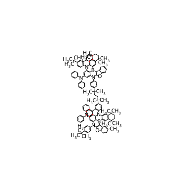 Cc1ccc2oc3c(c2c1)B1c2cc4c(cc2N(c2ccc(C(C)(C)CCC(C)(C)c5ccc(N6c7cc(N(c8ccccc8)c8ccccc8)cc8c7B(c7cc9c(cc7N8c7ccc(C(C)(C)C)cc7-c7ccccc7)C(C)(C)CCC9(C)C)c7c6oc6ccccc76)cc5)cc2-c2ccccc2)c2cc(N(c5ccccc5)c5ccccc5)cc(c21)N3c1ccc(C(C)(C)C)cc1)C(C)(C)CCC4(C)C